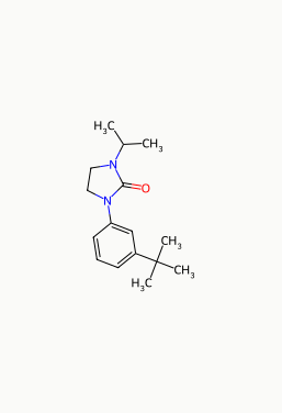 CC(C)N1CCN(c2cccc(C(C)(C)C)c2)C1=O